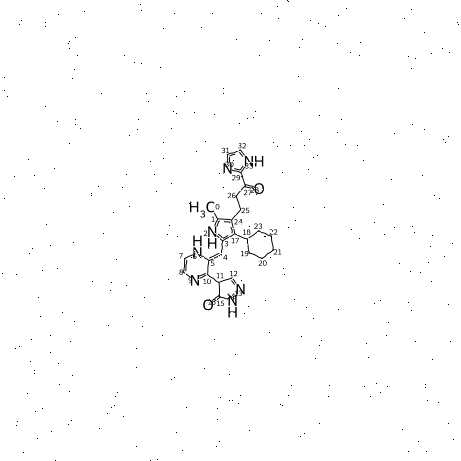 Cc1[nH]c(C=C2NC=CN=C2C2C=NNC2=O)c(C2CCCCC2)c1CCC(=O)c1ncc[nH]1